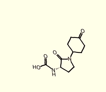 O=C1CCC(N2CC[C@H](NC(=O)O)C2=O)CC1